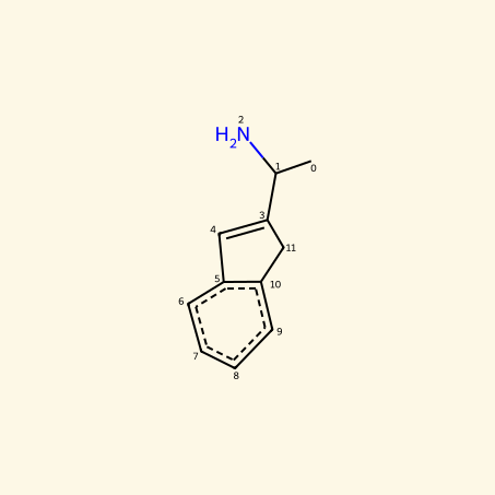 CC(N)C1=Cc2ccccc2C1